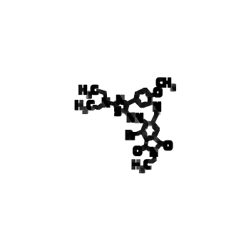 CCN1C(=O)c2cc(C#N)c(/N=N/c3sc(N(CC)CC)nc3-c3ccc(OC)cc3)c(Br)c2C1=O